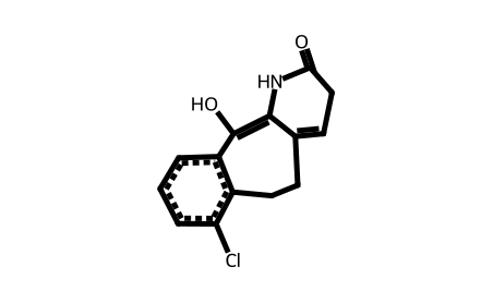 O=C1CC=C2CCc3c(Cl)cccc3C(O)=C2N1